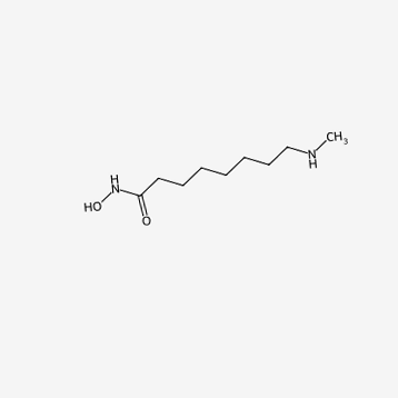 CNCCCCCCCC(=O)NO